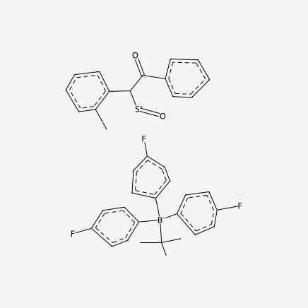 CC(C)(C)[B-](c1ccc(F)cc1)(c1ccc(F)cc1)c1ccc(F)cc1.Cc1ccccc1C([S+]=O)C(=O)c1ccccc1